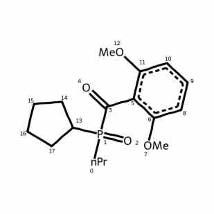 CCCP(=O)(C(=O)c1c(OC)cccc1OC)C1CCCC1